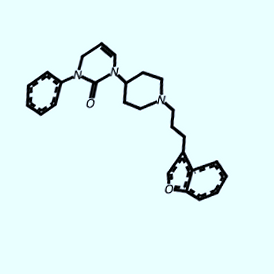 O=C1N(c2ccccc2)CC=CN1C1CCN(CCCc2coc3ccccc23)CC1